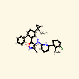 COc1c(F)cccc1-c1cccc(Nc2c(C)noc2-c2cc(C3(C(=O)O)CC3)ccc2-c2ccccc2)n1